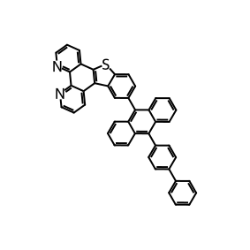 c1ccc(-c2ccc(-c3c4ccccc4c(-c4ccc5sc6c7cccnc7c7ncccc7c6c5c4)c4ccccc34)cc2)cc1